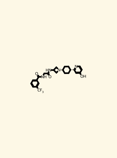 O=C(CNC(=O)c1cccc(C(F)(F)F)c1)NC1CN([C@H]2CC[C@@H](c3cc(O)ccn3)CC2)C1